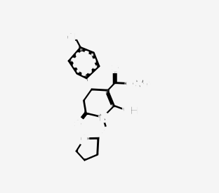 COC(=O)C1=C(C)N(C[C@@H]2CCCO2)C(=O)C[C@@H]1c1ccc(Cl)cc1